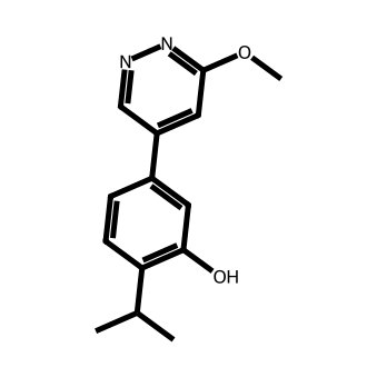 COc1cc(-c2ccc(C(C)C)c(O)c2)cnn1